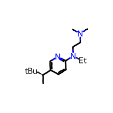 CCN(CCN(C)C)c1ccc([C@@H](C)C(C)(C)C)cn1